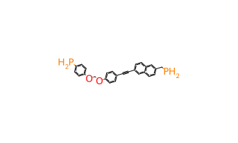 PCc1ccc2cc(C#Cc3ccc(OCOc4ccc(P)cc4)cc3)ccc2c1